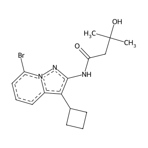 CC(C)(O)CC(=O)Nc1nn2c(Br)cccc2c1C1CCC1